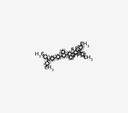 Cc1ccc(N(c2ccc(C)cc2)c2ccc(-c3ccc(-c4ccc(-c5ccc(-c6c(F)c(F)c(N(c7ccc(C)cc7)c7ccc(C)cc7)c(F)c6F)c6ccccc56)c5ccccc45)cc3)cc2)cc1